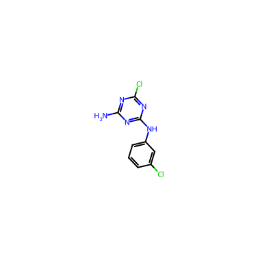 Nc1nc(Cl)nc(Nc2cccc(Cl)c2)n1